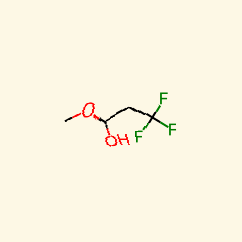 COC(O)CC(F)(F)F